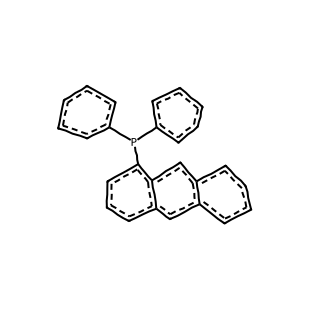 c1ccc(P(c2ccccc2)c2cccc3cc4ccccc4cc23)cc1